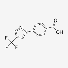 O=C(O)c1ccc(-n2cc(C(F)(F)F)cn2)cc1